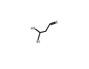 CCC(S)CC=S